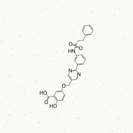 O=C(O)c1cc(OCc2cnc(-c3cccc(NS(=O)(=O)CCc4ccccc4)c3)nc2)ccc1O